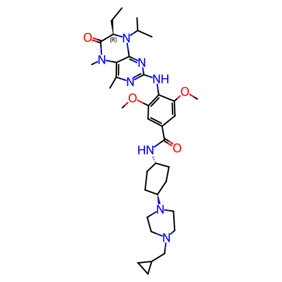 CC[C@@H]1C(=O)N(C)c2c(C)nc(Nc3c(OC)cc(C(=O)N[C@H]4CC[C@H](N5CCN(CC6CC6)CC5)CC4)cc3OC)nc2N1C(C)C